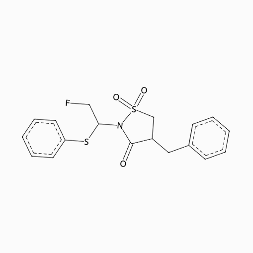 O=C1C(Cc2ccccc2)CS(=O)(=O)N1C(CF)Sc1ccccc1